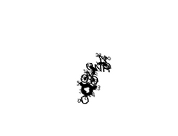 COc1cc(C)c(S(=O)(=O)N(C)CC(=O)NCC(=O)N(C)C)c(C)c1